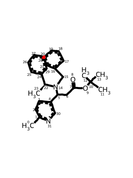 Cc1ccc(C(CC(=O)OC(C)(C)C)N(Cc2ccccc2)[C@@H](C)c2ccccc2)cn1